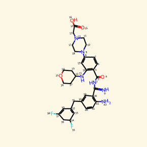 N=C(NC(=O)c1ccc(N2CCN(CC(=O)O)CC2)cc1NC1CCOCC1)c1cc(CC2=CC(F)CC(F)=C2)ccc1N